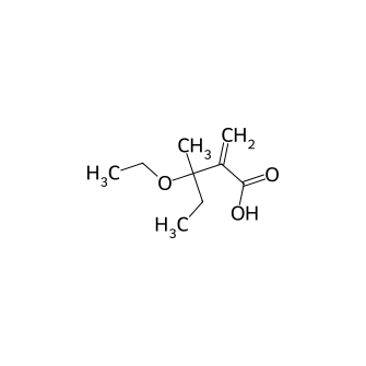 C=C(C(=O)O)C(C)(CC)OCC